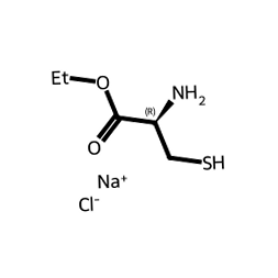 CCOC(=O)[C@@H](N)CS.[Cl-].[Na+]